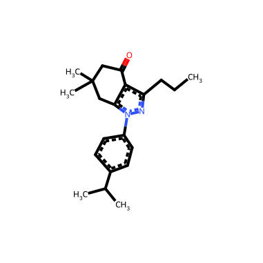 CCCc1nn(-c2ccc(C(C)C)cc2)c2c1C(=O)CC(C)(C)C2